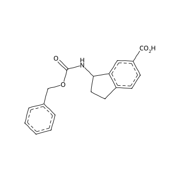 O=C(NC1CCc2ccc(C(=O)O)cc21)OCc1ccccc1